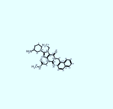 CCn1c(N2CCCC(N)C2)nc2c1c(=O)n(Cc1cccc3ccccc13)c(=O)n2CC(=O)OC